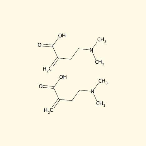 C=C(CCN(C)C)C(=O)O.C=C(CCN(C)C)C(=O)O